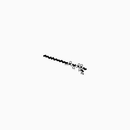 CCCCCCCCCCCCCCCCCCNC(=O)OCC(COC(=O)NC(=O)N(CCC)CCN(C)C)OC